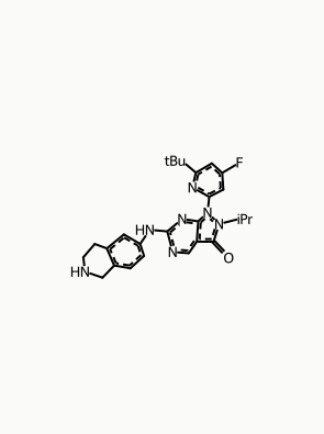 CC(C)n1c(=O)c2cnc(Nc3ccc4c(c3)CCNC4)nc2n1-c1cc(F)cc(C(C)(C)C)n1